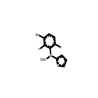 O=CN(c1cccs1)c1c(F)ccc(Br)c1F